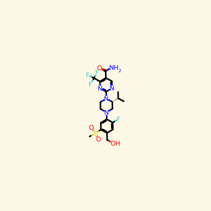 CC(C)[C@@H]1CN(c2cc(S(C)(=O)=O)c(CO)cc2F)CCN1c1ncc(C(N)=O)c(C(F)(F)F)n1